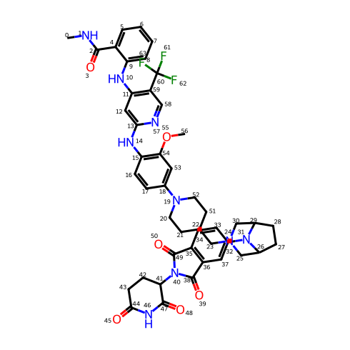 CNC(=O)c1ccccc1Nc1cc(Nc2ccc(N3CCC(CN4CC5CCC(C4)N5c4ccc5c(c4)C(=O)N(C4CCC(=O)NC4=O)C5=O)CC3)cc2OC)ncc1C(F)(F)F